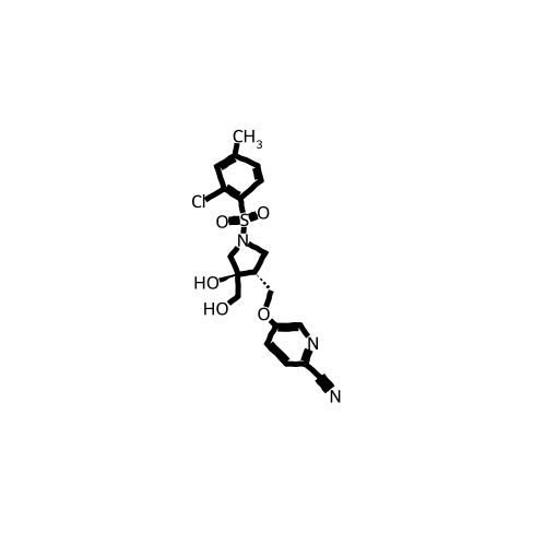 Cc1ccc(S(=O)(=O)N2C[C@H](COc3ccc(C#N)nc3)[C@](O)(CO)C2)c(Cl)c1